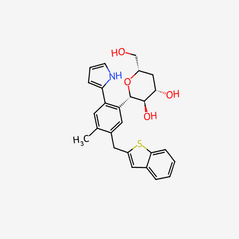 Cc1cc(-c2ccc[nH]2)c([C@@H]2O[C@H](CO)C[C@H](O)[C@H]2O)cc1Cc1cc2ccccc2s1